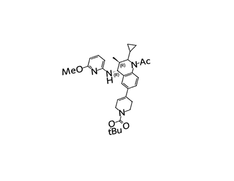 COc1cccc(N[C@H]2c3cc(C4=CCN(C(=O)OC(C)(C)C)CC4)ccc3N(C(C)=O)C(C3CC3)[C@@H]2C)n1